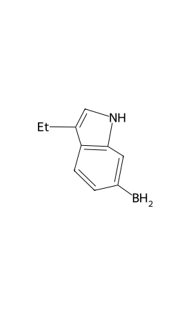 Bc1ccc2c(CC)c[nH]c2c1